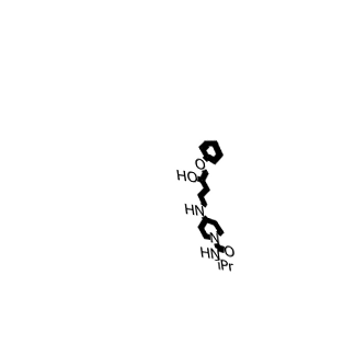 CC(C)NC(=O)N1CCC(NCCCC(O)COc2ccccc2)CC1